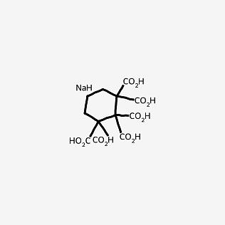 O=C(O)C1(C(=O)O)CCCC(C(=O)O)(C(=O)O)C1(C(=O)O)C(=O)O.[NaH]